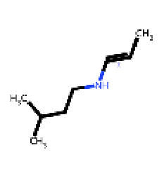 C/C=C/NCCC(C)C